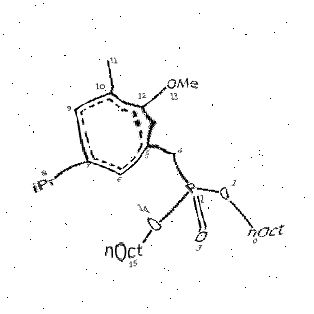 CCCCCCCCOP(=O)(Cc1cc(C(C)C)cc(C)c1OC)OCCCCCCCC